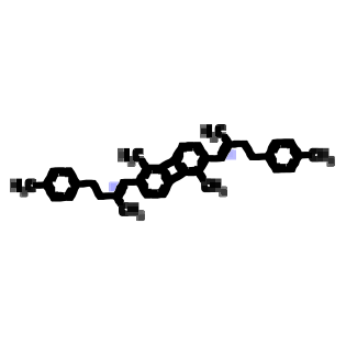 C/C(=C\c1ccc2c(c1C)-c1ccc(/C=C(\C)CCc3ccc(C)cc3)c(C)c1-2)CCc1ccc(C)cc1